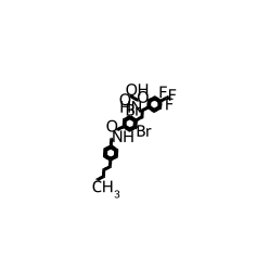 CCCCCc1ccc(CNC(=O)c2cc(Br)c(CC(NC(=O)C(=O)O)c3ccc(C(F)(F)F)cc3)c(Br)c2)cc1